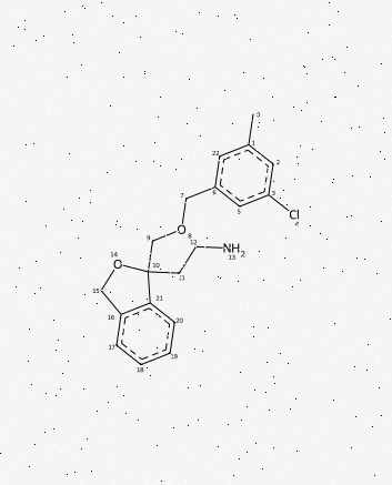 Cc1cc(Cl)cc(COCC2(CCN)OCc3ccccc32)c1